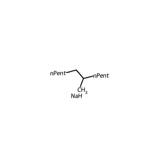 [CH2]CCCCCC(C)CCCCC.[NaH]